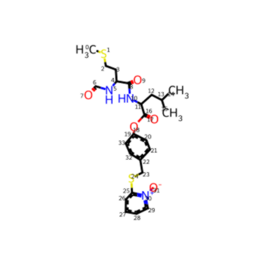 CSCCC(NC=O)C(=O)NC(CC(C)C)C(=O)Oc1ccc(CSc2cccc[n+]2[O-])cc1